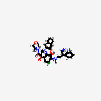 CN(CCc1c[nH]c2ccccc12)c1c(F)cc2c(=O)c(C(=O)N3CCOCC3)cn3c2c1Oc1cc2ccccc2cc1-3